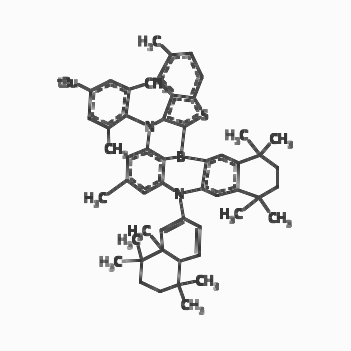 Cc1cc2c3c(c1)N(c1c(C)cc(C(C)(C)C)cc1C)c1c(sc4ccc(C)cc14)B3c1cc3c(cc1N2C1=CC2(C)C(C=C1)C(C)(C)CCC2(C)C)C(C)(C)CCC3(C)C